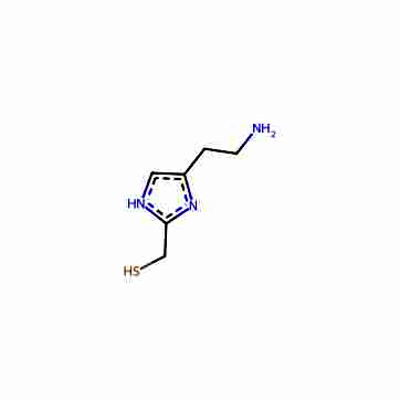 NCCc1c[nH]c(CS)n1